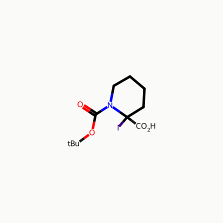 CC(C)(C)OC(=O)N1CCCCC1(I)C(=O)O